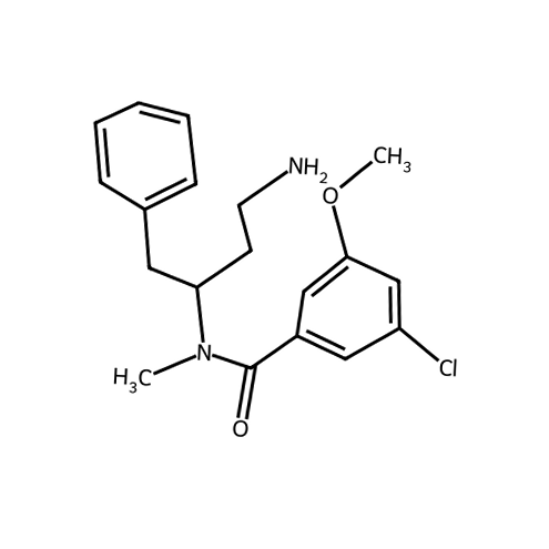 COc1cc(Cl)cc(C(=O)N(C)C(CCN)Cc2ccccc2)c1